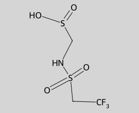 O=S(O)CNS(=O)(=O)CC(F)(F)F